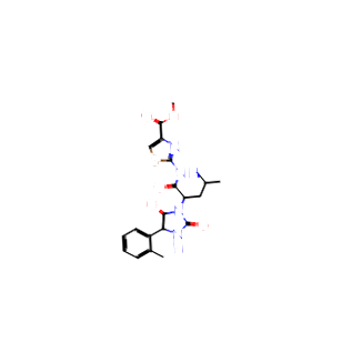 COC(=O)c1csc(NC(=O)C(CC(C)C)N2C(=O)NC(c3ccccc3C)C2=O)n1